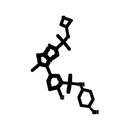 Cc1nc2sc(C(C)(C)OC3COC3)cn2c1-c1ccc(Cl)c(S(=O)(=O)N[C@H]2CC[C@@H](O)CC2)c1